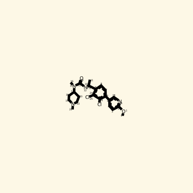 COc1ccc(-c2ccc(C(C)NC(=O)N(C)C3CCN(C)CC3)c(Cl)c2Cl)cn1